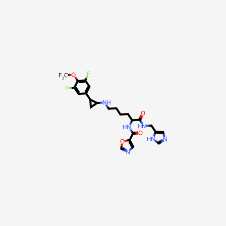 O=C(NC(CCCCNC1CC1c1cc(F)c(OC(F)(F)F)c(F)c1)C(=O)NCc1cnc[nH]1)c1cnco1